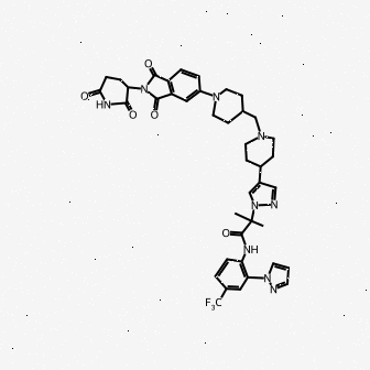 CC(C)(C(=O)Nc1ccc(C(F)(F)F)cc1-n1cccn1)n1cc(C2CCN(CC3CCN(c4ccc5c(c4)C(=O)N(C4CCC(=O)NC4=O)C5=O)CC3)CC2)cn1